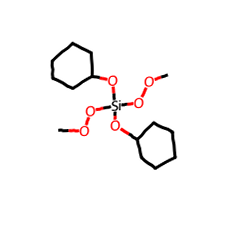 COO[Si](OOC)(OC1CCCCC1)OC1CCCCC1